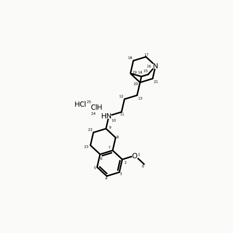 COc1cccc2c1CC(NCCCC1CN3CCC1CC3)CC2.Cl.Cl